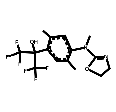 Cc1cc(C(O)(C(F)(F)F)C(F)(F)F)c(C)cc1N(C)C1=NCCO1